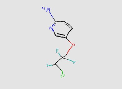 Nc1ccc(OC(F)(F)C(F)Cl)cn1